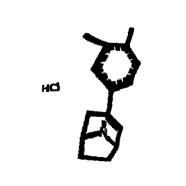 Cc1ccc(C2=CC3CCC(C2)N3C)cc1C.Cl